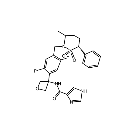 CC1CC[C@@H](c2ccccc2)S(=O)(=O)N1Cc1cc(F)c(C2(NC(=O)c3c[nH]cn3)COC2)cc1F